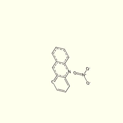 O=[N+]([O-])[O-].[C+]1=c2cc3ccccc3nc2=CC=C1